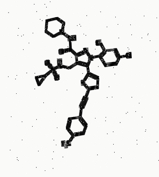 O=C(NN1CCCCC1)c1nn(-c2ccc(Cl)cc2Cl)c(-c2ccc(C#Cc3ccc(C(F)(F)F)cc3)s2)c1CNS(=O)(=O)C1CC1